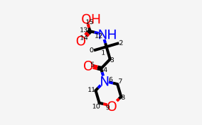 CC(C)(CC(=O)N1CCOCC1)NC(=O)O